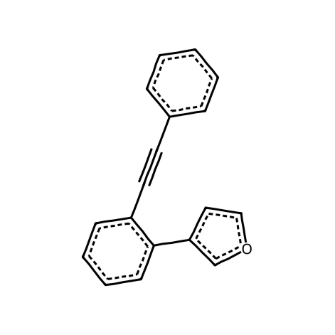 C(#Cc1ccccc1-c1ccoc1)c1ccccc1